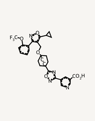 O=C(O)c1cncc(-c2noc(C34CCC(OCc5c(-c6ccccc6OC(F)(F)F)noc5C5CC5)(CC3)CC4)n2)c1